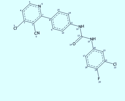 N#Cc1c(Cl)ccnc1-c1ccc(NC(=O)Nc2ccc(F)c(Cl)c2)cc1